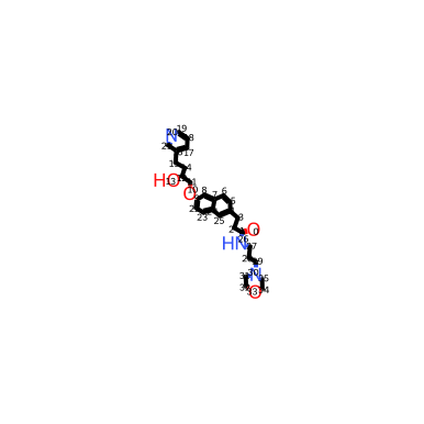 O=C(CCc1ccc2cc(OC[C@H](O)CCc3cccnc3)ccc2c1)NCCCN1CCOCC1